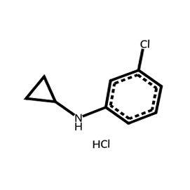 Cl.Clc1cccc(NC2CC2)c1